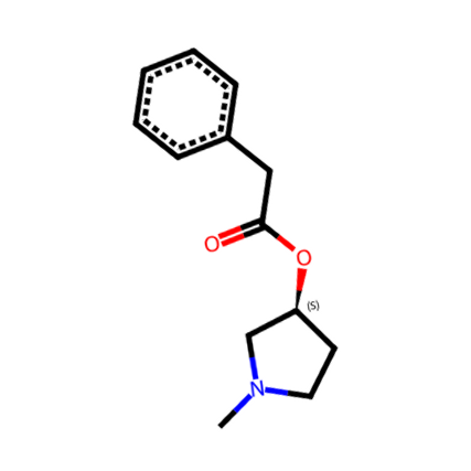 CN1CC[C@H](OC(=O)Cc2ccccc2)C1